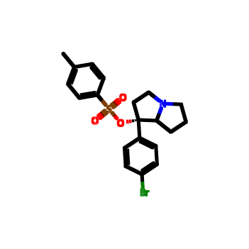 Cc1ccc(S(=O)(=O)O[C@]2(c3ccc(Br)cc3)CCN3CCCC32)cc1